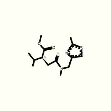 COC(=O)[C@@H](CC(=O)N(C)Cc1csc(C)n1)C(C)C